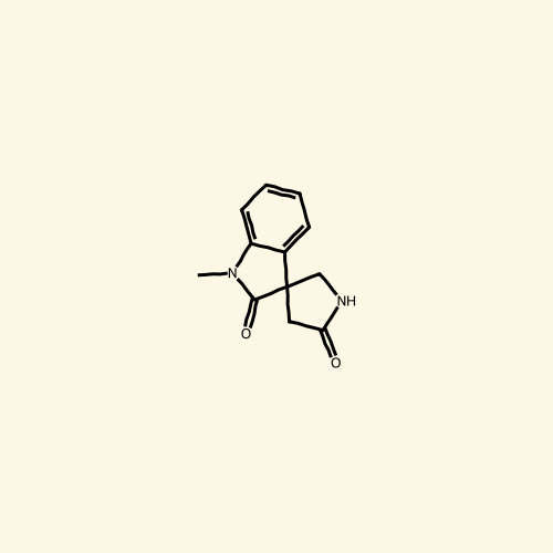 CN1C(=O)C2(CNC(=O)C2)c2ccccc21